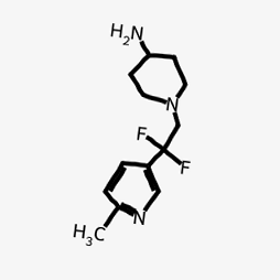 Cc1ccc(C(F)(F)CN2CCC(N)CC2)cn1